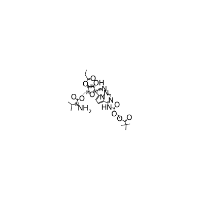 CCC(=O)O[C@H]1[C@@H](O)[C@](C#N)(c2ccc3c(NC(=O)OCOC(=O)C(C)(C)C)ncnn23)O[C@@H]1COC(=O)[C@@H](N)C(C)C